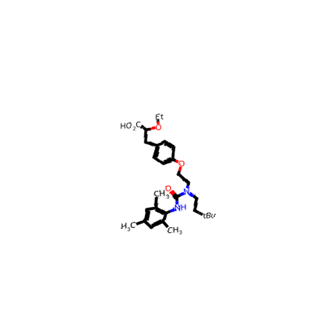 CCOC(Cc1ccc(OCCN(CCC(C)(C)C)C(=O)Nc2c(C)cc(C)cc2C)cc1)C(=O)O